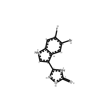 O=c1[nH]c(-c2c[nH]c3cc(F)c(Br)cc23)no1